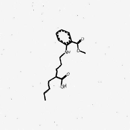 CCCCC(CCCNc1ccccc1C(=O)OC)C(=O)O